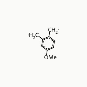 [CH2]c1ccc(OC)cc1[CH2]